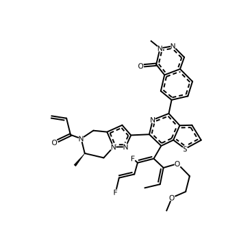 C=CC(=O)N1Cc2cc(-c3nc(-c4ccc5cnn(C)c(=O)c5c4)c4ccsc4c3C(/C(=C\C)OCCOC)=C(F)/C=C/F)nn2C[C@H]1C